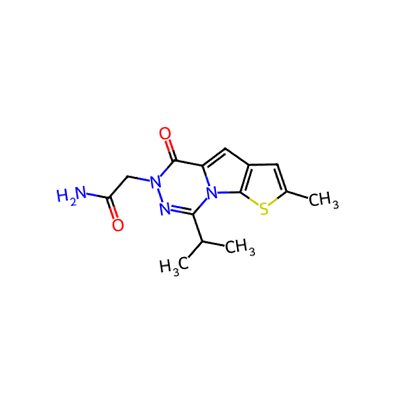 Cc1cc2cc3c(=O)n(CC(N)=O)nc(C(C)C)n3c2s1